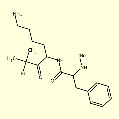 CCC(C)(C)C(=O)C(CCCCN)NC(=O)C(Cc1ccccc1)NC(C)(C)C